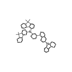 CC1(C)c2ccccc2-c2cc(N(c3cccc(-c4cccc5cc(-n6c7ccccc7c7ccccc76)ccc45)c3)c3cccc4c3-c3ccccc3C4(C)C)ccc21